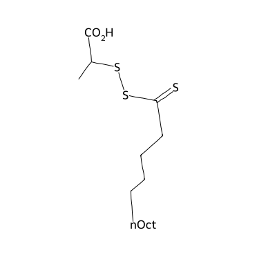 CCCCCCCCCCCCC(=S)SSC(C)C(=O)O